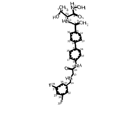 C=C(N[C@H](C(=O)NO)[C@@H](C)O)c1ccc(-c2ccc(NC(=O)CNCc3cc(F)cc(F)c3)cc2)cc1